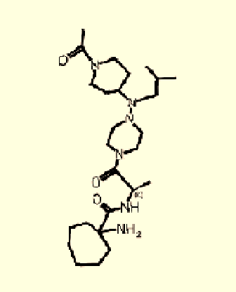 CC(=O)N1CCC(N(CC(C)C)N2CCN(C(=O)[C@@H](C)NC(=O)C3(N)CCCCCC3)CC2)CC1